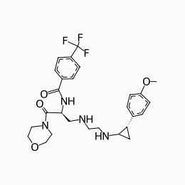 COc1ccc([C@@H]2CC2NCCNC[C@H](NC(=O)c2ccc(C(F)(F)F)cc2)C(=O)N2CCOCC2)cc1